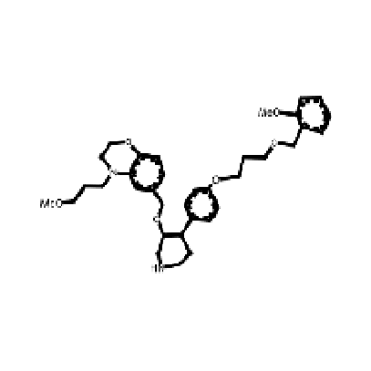 COCCCN1CCOc2ccc(COC3CNCCC3c3ccc(OCCCOCc4ccccc4OC)cc3)cc21